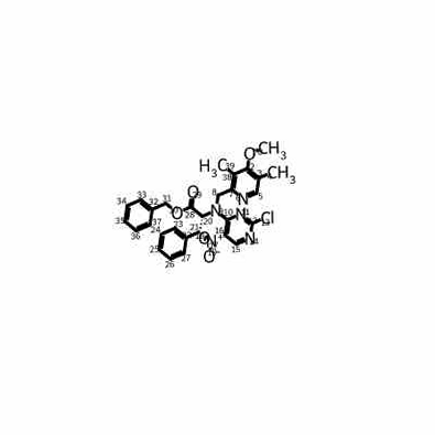 COc1c(C)cnc(CN(c2nc(Cl)ncc2[N+](=O)[O-])[C@H](Cc2ccccc2)C(=O)OCc2ccccc2)c1C